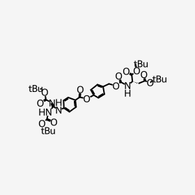 CC(C)(C)OC(=O)C[C@H](NC(=O)OCc1ccc(OC(=O)c2ccc(NC(=NC(=O)OC(C)(C)C)NC(=O)OC(C)(C)C)cc2)cc1)C(=O)OC(C)(C)C